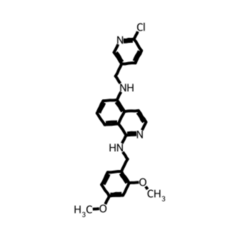 COc1ccc(CNc2nccc3c(NCc4ccc(Cl)nc4)cccc23)c(OC)c1